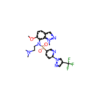 COc1ccc2cnn(C)c2c1N(CCN(C)C)S(=O)(=O)c1ccc(-n2cc(C(F)(F)F)cn2)nc1